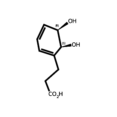 O=C(O)CCC1=CC=C[C@@H](O)[C@H]1O